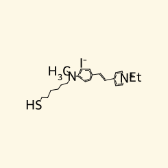 CC[n+]1ccc(/C=C/c2ccc(N(C)CCCCCCS)cc2)cc1.[I-]